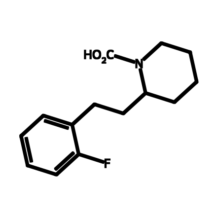 O=C(O)N1CCCCC1CCc1ccccc1F